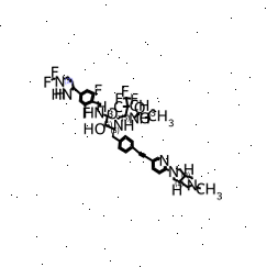 COC(=O)N[C@H](C(=O)N[C@@H](Cc1ccc(C#Cc2ccc(N3C[C@H]4CN(C)C[C@H]4C3)nc2)cc1)[C@@H](O)CNCc1c(F)cc(C(=N)/C=C\NC(F)F)cc1F)C(C)(C)C(F)(F)F